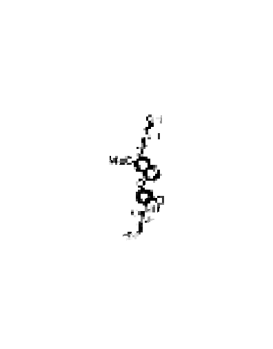 COc1cc2c(Oc3ccc(NC(=O)NCCC(C)(C)C)c(Cl)c3)ccnc2cc1OCCNCCO